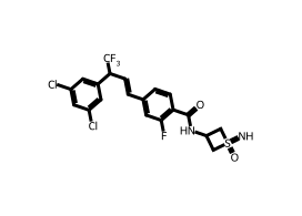 N=S1(=O)CC(NC(=O)c2ccc(/C=C/C(c3cc(Cl)cc(Cl)c3)C(F)(F)F)cc2F)C1